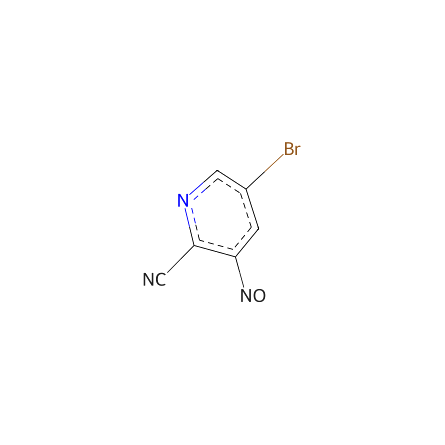 N#Cc1ncc(Br)cc1N=O